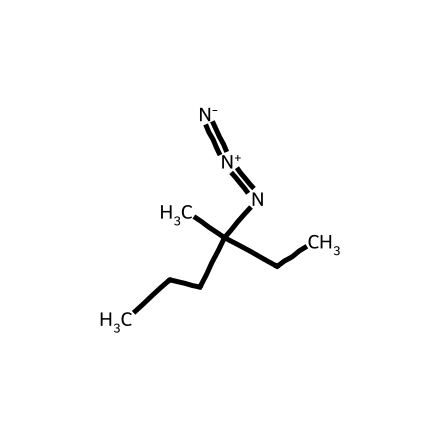 CCCC(C)(CC)N=[N+]=[N-]